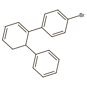 Brc1ccc(C2=C[C]=CCC2c2ccccc2)cc1